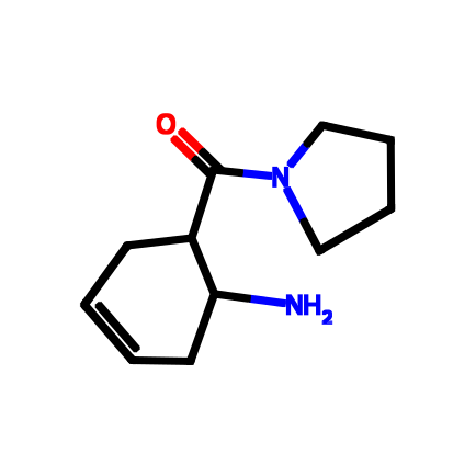 NC1CC=CCC1C(=O)N1CCCC1